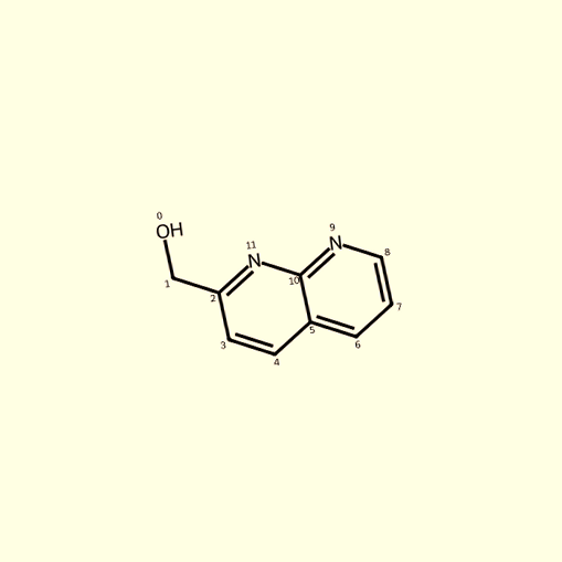 OCc1ccc2cccnc2n1